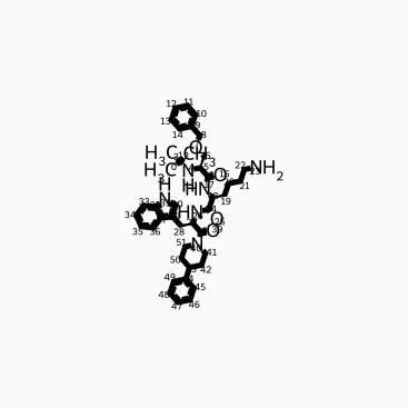 CC(C)(C)N[C@@H](COCc1ccccc1)C(=O)N[C@@H](CCCCN)C(=O)N[C@H](Cc1c[nH]c2ccccc12)C(=O)N1CCC(c2ccccc2)CC1